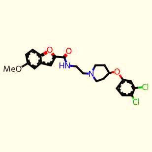 COc1ccc2oc(C(=O)NCCN3CCC(Oc4ccc(Cl)c(Cl)c4)CC3)cc2c1